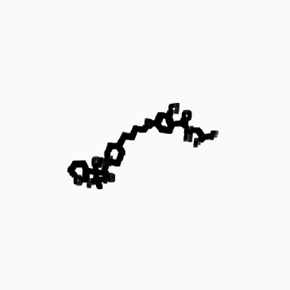 CC(F)(F)C(O)(C(=O)N1CCC(CCCCOc2ccc(C(=O)NCC(F)F)c(Cl)c2)CC1)C1=COCC=C1